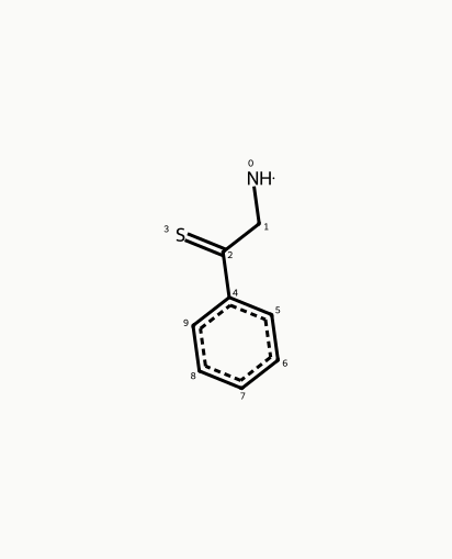 [NH]CC(=S)c1ccccc1